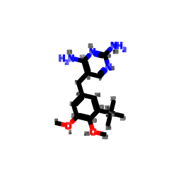 COc1cc(Cc2cnc(N)nc2N)c[c]([Sn]([CH3])([CH3])[CH3])c1OC